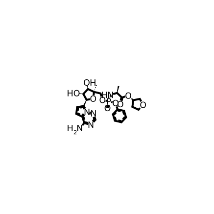 C[C@H](N[P@@](=O)(OC[C@@]1(C)O[C@@H](c2ccc3c(N)ncnn23)[C@H](O)[C@@H]1O)Oc1ccccc1)C(=O)O[C@@H]1CCOC1